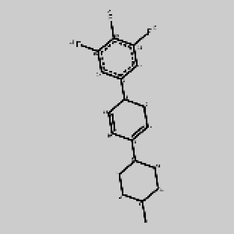 CC1CCC(C2=CCC(c3cc(F)c(F)c(F)c3)C=C2)CC1